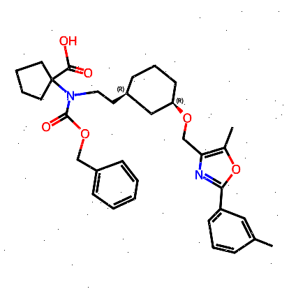 Cc1cccc(-c2nc(CO[C@@H]3CCC[C@H](CCN(C(=O)OCc4ccccc4)C4(C(=O)O)CCCC4)C3)c(C)o2)c1